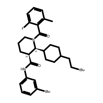 Cc1cccc(F)c1C(=O)N1CCC[C@H](C(=O)Nc2cccc(C(C)(C)C)c2)[C@@H]1C1CCC(CCC(C)(C)C)CC1